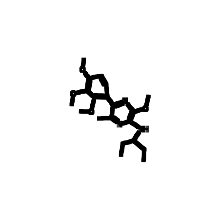 CCC(CC)Nc1nc(C)c(-c2ccc(OC)c(OC)c2OC)nc1OC